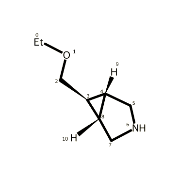 CCOC[C@H]1[C@@H]2CNC[C@@H]21